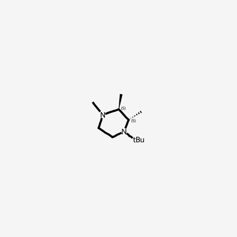 C[C@H]1[C@H](C)N(C(C)(C)C)CCN1C